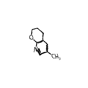 Cc1cnc2c(c1)CCCO2